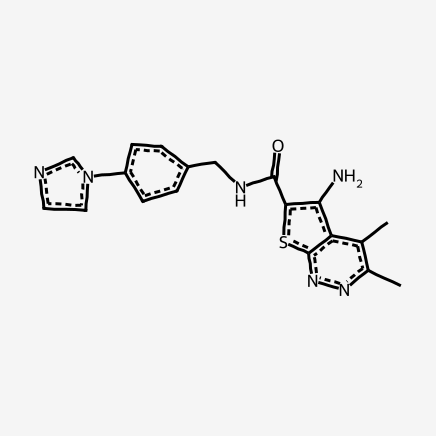 Cc1nnc2sc(C(=O)NCc3ccc(-n4ccnc4)cc3)c(N)c2c1C